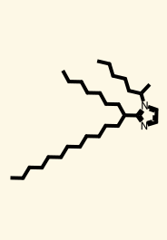 CCCCCCCCCCCCC(CCCCCCC)c1nccn1C(C)CCCCC